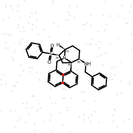 O=S(=O)(c1ccccc1)[C@@H]1C[C@@]2(c3ccccc3)[C@H](NCc3ccccc3)CC[C@@H]1N2Cc1ccccc1